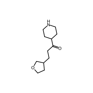 O=C(CCC1CCOC1)C1CCNCC1